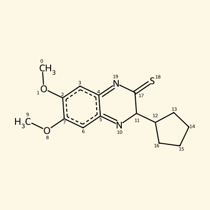 COc1cc2c(cc1OC)=NC(C1CCCC1)C(=S)N=2